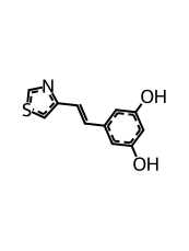 Oc1cc(O)cc(C=Cc2cscn2)c1